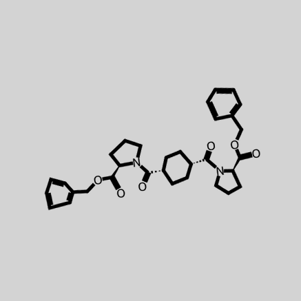 O=C(OCc1ccccc1)[C@H]1CCCN1C(=O)[C@H]1CC[C@@H](C(=O)N2CCC[C@@H]2C(=O)OCc2ccccc2)CC1